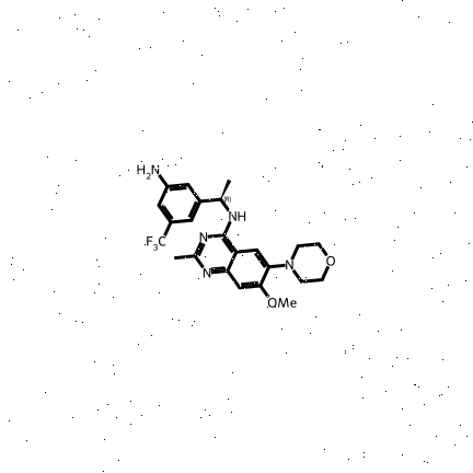 COc1cc2nc(C)nc(N[C@H](C)c3cc(N)cc(C(F)(F)F)c3)c2cc1N1CCOCC1